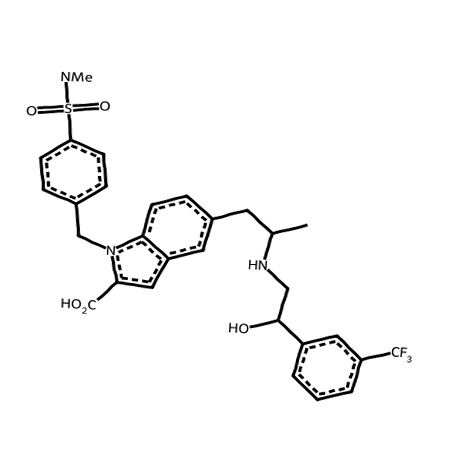 CNS(=O)(=O)c1ccc(Cn2c(C(=O)O)cc3cc(CC(C)NCC(O)c4cccc(C(F)(F)F)c4)ccc32)cc1